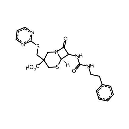 O=C(NCCc1ccccc1)NC1C(=O)N2CC(CSc3ncccn3)(C(=O)O)CS[C@H]12